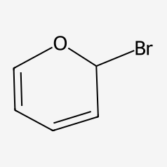 BrC1C=CC=CO1